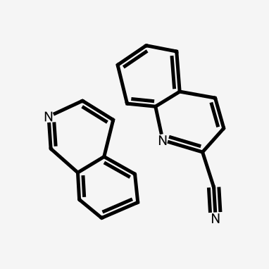 N#Cc1ccc2ccccc2n1.c1ccc2cnccc2c1